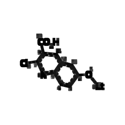 CCOc1ccc2nc(Cl)c(C(=O)O)cc2c1